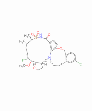 CO[C@H]1/C(F)=C/C[C@H](C)[C@@H](C)S(=O)(=O)NC(=O)c2ccc3c(c2)N(CCCCc2cc(Cl)ccc2CO3)C[C@@H]2CCO[C@H]21